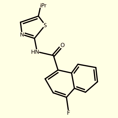 CC(C)c1cnc(NC(=O)c2ccc(F)c3ccccc23)s1